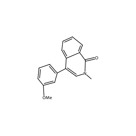 COc1cccc(-c2cn(C)c(=O)c3ccccc23)c1